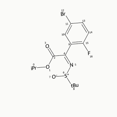 CC(C)OC(=O)/C(=N\[S+]([O-])C(C)(C)C)c1cc(Br)ccc1F